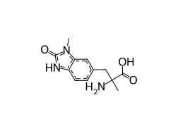 Cn1c(=O)[nH]c2ccc(CC(C)(N)C(=O)O)cc21